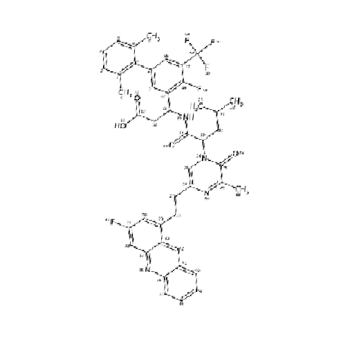 Cc1cccc(C)c1-c1cc(C(CC(=O)O)NC(=O)C(CC(C)C)n2cc(CCc3cc(F)cc4nc5ccccc5cc34)nc(C)c2=O)c(F)c(C(F)(F)F)c1